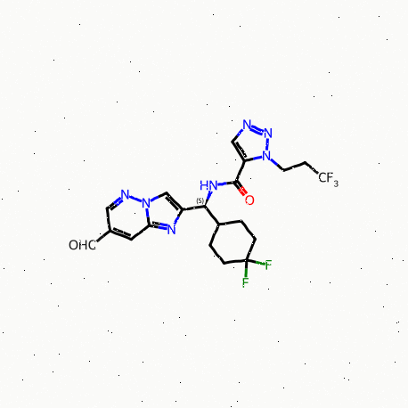 O=Cc1cnn2cc([C@@H](NC(=O)c3cnnn3CCC(F)(F)F)C3CCC(F)(F)CC3)nc2c1